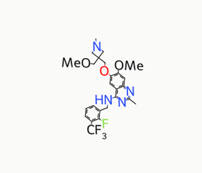 COCC1(COc2cc3c(NCc4cccc(C(F)(F)F)c4F)nc(C)nc3cc2OC)CN(C)C1